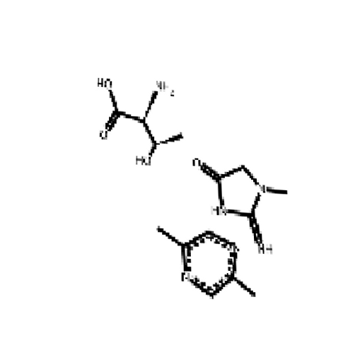 CN1CC(=O)NC1=N.C[C@@H](O)[C@H](N)C(=O)O.Cc1cnc(C)cn1